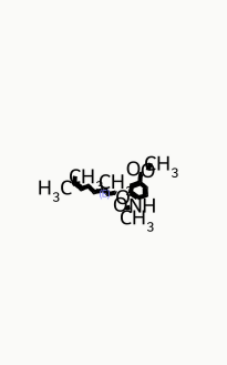 COC(=O)c1ccc(NC(C)=O)c(OC/C=C(\C)CCC=C(C)C)c1